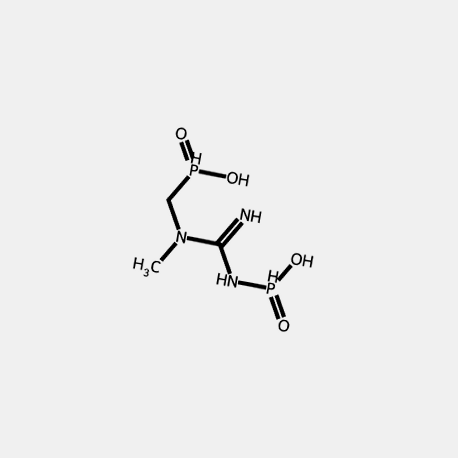 CN(C[PH](=O)O)C(=N)N[PH](=O)O